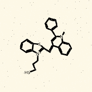 CN1C(c2ccccc2)=C/C(=C\c2sc3ccccc3[n+]2CCCS)c2ccccc21